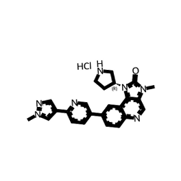 Cl.Cn1cc(-c2ccc(-c3ccc4ncc5c(c4c3)n([C@@H]3CCNC3)c(=O)n5C)cn2)cn1